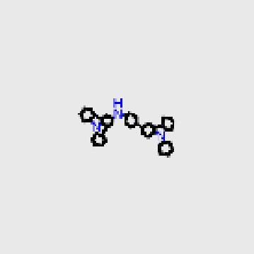 c1ccc(-n2c3ccccc3c3cc(-c4ccc(Nc5cc6c7ccccc7n7c8ccccc8c(c5)c67)cc4)ccc32)cc1